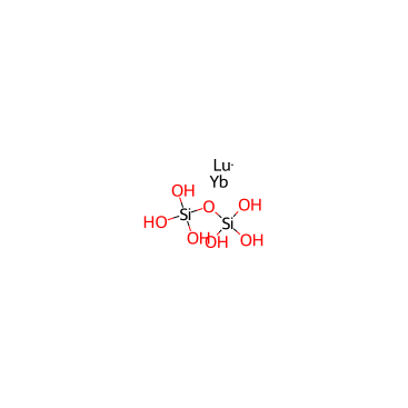 O[Si](O)(O)O[Si](O)(O)O.[Lu].[Yb]